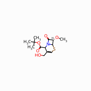 CO[C@H]1C(=O)N2C(C(=O)OC(C)(C)C)C(CO)=CSC12